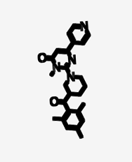 Cc1cc(C)c(C(=O)C2CCCN(c3nc(-c4ccncc4)cc(=O)n3C)C2)c(C)c1